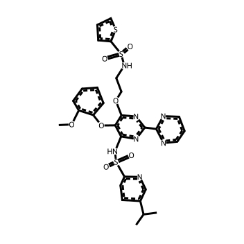 COc1ccccc1Oc1c(NS(=O)(=O)c2ccc(C(C)C)cn2)nc(-c2ncccn2)nc1OCCNS(=O)(=O)c1cccs1